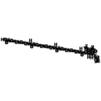 CC(C)(C)OC(=O)CC[C@H](NC(=O)N[C@@H](CCC(=O)NCCOCCOCCOCCOCCC(=O)NCCOCCOCCOCCOCCC(=O)NCCOCCOCCOCCOCCC(=O)O)C(=O)OC(C)(C)C)C(=O)OC(C)(C)C